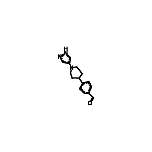 O=Cc1ccc(C2CCN(c3cn[nH]c3)CC2)cc1